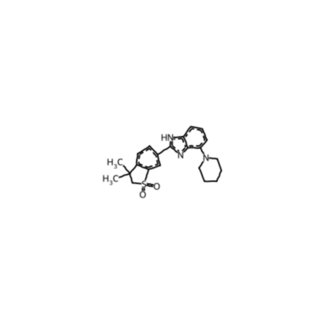 CC1(C)CS(=O)(=O)c2cc(-c3nc4c(N5CCCCC5)cccc4[nH]3)ccc21